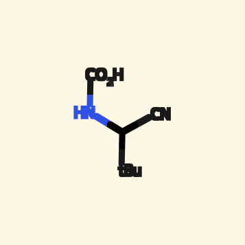 CC(C)(C)C(C#N)NC(=O)O